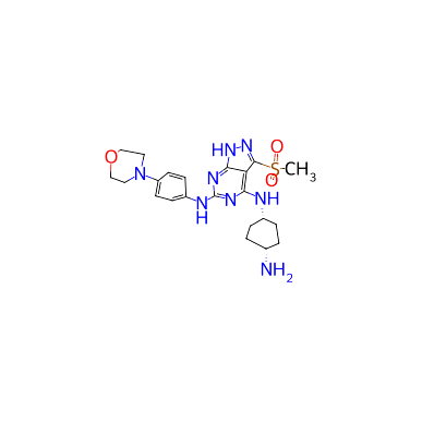 CS(=O)(=O)c1n[nH]c2nc(Nc3ccc(N4CCOCC4)cc3)nc(N[C@H]3CC[C@@H](N)CC3)c12